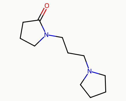 O=C1CCCN1CCCN1CCCC1